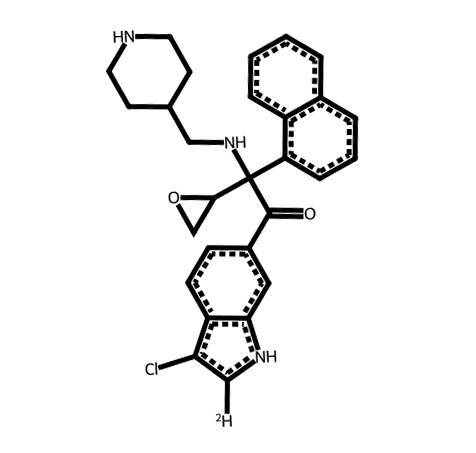 [2H]c1[nH]c2cc(C(=O)C(NCC3CCNCC3)(c3cccc4ccccc34)C3CO3)ccc2c1Cl